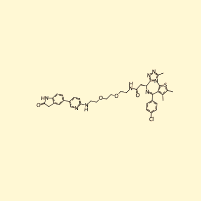 Cc1sc2c(c1C)C(c1ccc(Cl)cc1)=N[C@@H](CC(=O)NCCOCCOCCNc1ccc(-c3ccc4c(c3)CC(=O)N4)cn1)c1nnc(C)n1-2